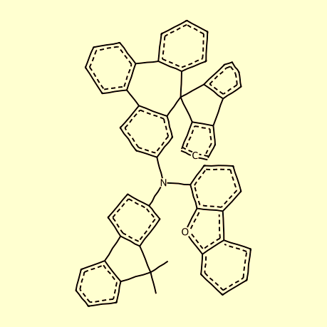 CC1(C)c2ccccc2-c2ccc(N(c3ccc4c(c3)C3(c5ccccc5-c5ccccc5-4)c4ccccc4-c4ccccc43)c3cccc4c3oc3ccccc34)cc21